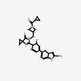 CC1=CC2CC(C3=CC(F)C(C4=NC5(CC5)C(=O)N4CC4CN(C(=O)C5CC5)C4)C=C3)=CC=C2O1